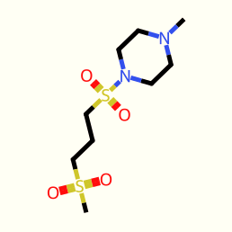 CN1CCN(S(=O)(=O)CCCS(C)(=O)=O)CC1